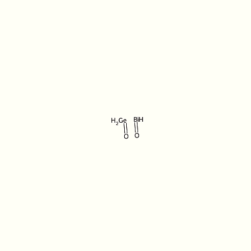 [O]=[BiH].[O]=[GeH2]